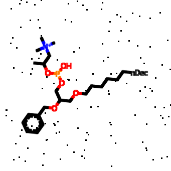 CCCCCCCCCCCCCCCCOCC(COP(O)OC(C)C[N+](C)(C)C)OCc1ccccc1